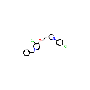 ClC1=C(OCCC2CCN(c3ccc(Cl)cc3)C2)C=CN(Cc2ccccc2)C1